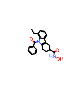 CCc1cccc2c3c(n(C(=O)c4ccccc4)c12)CCC(C(=O)NO)C3